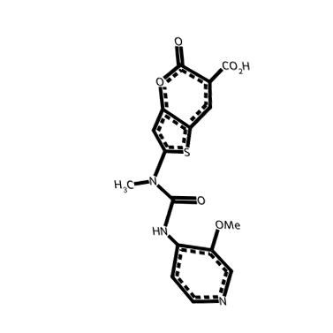 COc1cnccc1NC(=O)N(C)c1cc2oc(=O)c(C(=O)O)cc2s1